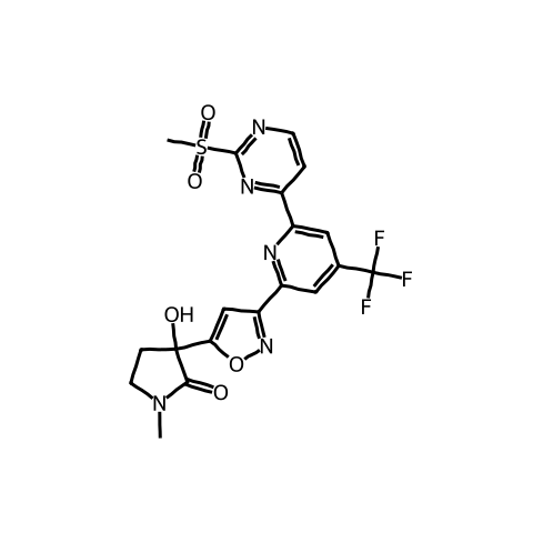 CN1CCC(O)(c2cc(-c3cc(C(F)(F)F)cc(-c4ccnc(S(C)(=O)=O)n4)n3)no2)C1=O